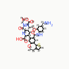 CCCNC(=O)c1ccc(-c2cc3c(cc2C(=O)Nc2ccc(CN)cc2OCCCC(=O)O)-c2sccc2CCO3)c(C(=O)O)n1